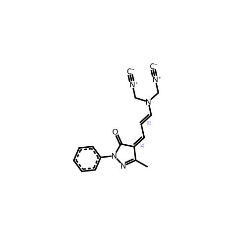 [C-]#[N+]CN(/C=C/C=C1\C(=O)N(c2ccccc2)N=C1C)C[N+]#[C-]